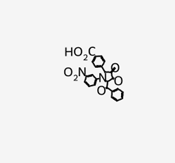 O=C(O)c1ccc(C2C(=O)C(=O)C(C(=O)c3ccccc3)N2c2cccc([N+](=O)[O-])c2)cc1